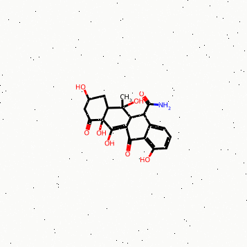 CC1(O)C2C(=C(O)C3(O)C(=O)CC(O)CC31)C(=O)c1c(O)cccc1C2C(N)=O